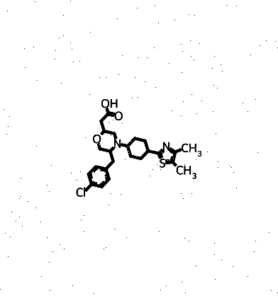 Cc1nc(C2CCC(N3CC(CC(=O)O)OCC3Cc3ccc(Cl)cc3)CC2)sc1C